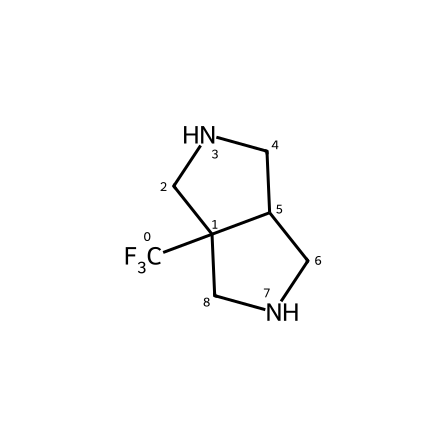 FC(F)(F)C12CNCC1CNC2